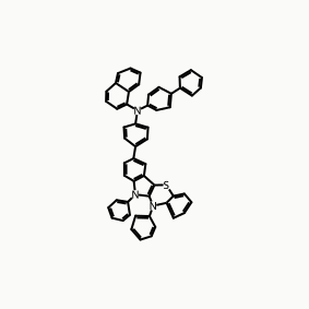 c1ccc(-c2ccc(N(c3ccc(-c4ccc5c(c4)c4c(n5-c5ccccc5)N(c5ccccc5)c5ccccc5S4)cc3)c3cccc4ccccc34)cc2)cc1